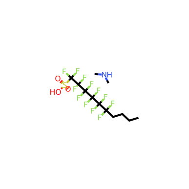 CCCCC(F)(F)C(F)(F)C(F)(F)C(F)(F)C(F)(F)C(F)(F)S(=O)(=O)O.CNC